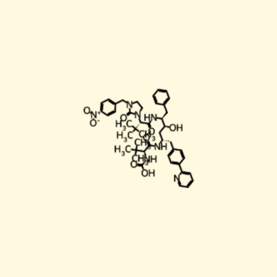 CC(C)(C)[C@H](NC(=O)O)C(=O)N[C@@H](Cc1ccc(-c2ccccn2)cc1)C[C@H](O)[C@H](Cc1ccccc1)NC(=O)[C@@H](N1CCN(Cc2ccc([N+](=O)[O-])cc2)C1=O)C(C)(C)C